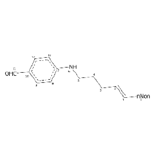 CCCCCCCCCC=CCCCNc1ccc(C=O)cc1